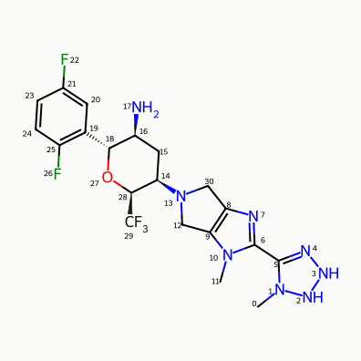 CN1NNN=C1c1nc2c(n1C)CN([C@@H]1C[C@H](N)[C@@H](c3cc(F)ccc3F)O[C@@H]1C(F)(F)F)C2